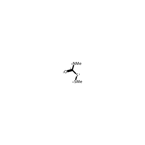 CNC(=O)SSC